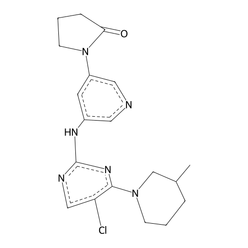 CC1CCCN(c2nc(Nc3cncc(N4CCCC4=O)c3)ncc2Cl)C1